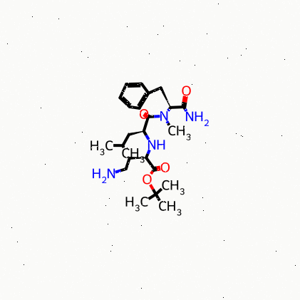 CC(C)C[C@H](N[C@H](CCN)C(=O)OC(C)(C)C)C(=O)N(C)[C@@H](Cc1ccccc1)C(N)=O